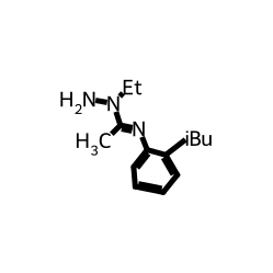 CCC(C)c1ccccc1/N=C(\C)N(N)CC